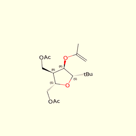 C=C(C)O[C@@H]1[C@H](COC(C)=O)[C@@H](COC(C)=O)O[C@H]1C(C)(C)C